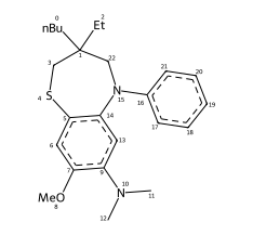 CCCCC1(CC)CSc2cc(OC)c(N(C)C)cc2N(c2ccccc2)C1